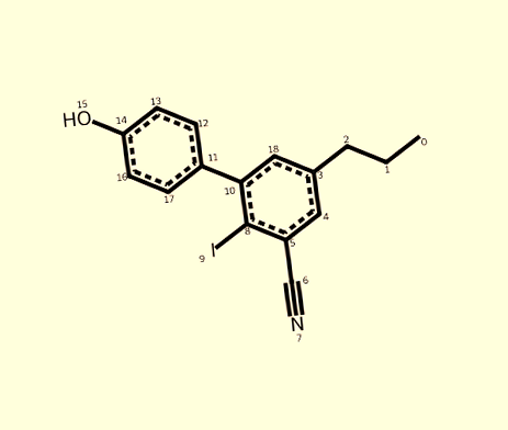 CCCc1cc(C#N)c(I)c(-c2ccc(O)cc2)c1